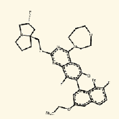 CCc1c(F)ccc2cc(OCOC)cc(-c3c(Cl)cc4c(N5CCCOCC5)nc(OC[C@@]56CCCN5C[C@H](F)C6)nc4c3F)c12